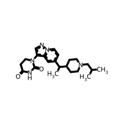 CC(C)CN1CCC(C(C)c2ccn3ncc(N4CCC(=O)NC4=O)c3c2)CC1